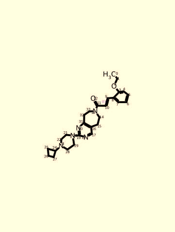 CCOc1ccccc1/C=C/C(=O)N1CCc2cnc(N3CCN(C4CCC4)CC3)nc2CC1